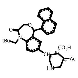 CC(=O)[C@H]1CNCC[C@@H]1C(=O)O.Cc1ccc2c(c1)C(c1cccc3ccccc13)OCC(=O)N2CC(C)(C)C